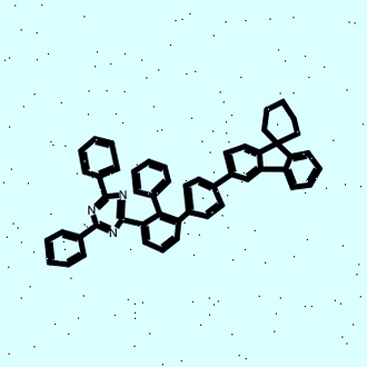 c1ccc(-c2nc(-c3ccccc3)nc(-c3cccc(-c4ccc(-c5ccc6c(c5)-c5ccccc5C65CCCCC5)cc4)c3-c3ccccc3)n2)cc1